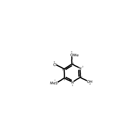 COc1nc(O)nc(SC)c1Cl